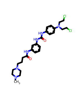 CN1CCN(CCCC(=O)Nc2cccc(NC(=O)Nc3ccc(N(CCCl)CCCl)cc3)c2)CC1